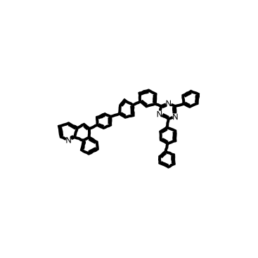 c1ccc(-c2ccc(-c3nc(-c4ccccc4)nc(-c4cccc(-c5ccc(-c6ccc(-c7cc8cccnc8c8ccccc78)cc6)cc5)c4)n3)cc2)cc1